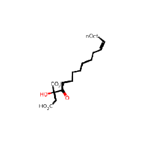 CCCCCCCC/C=C\CCCCCCCC(=O)C(O)(CC(=O)O)C(=O)O